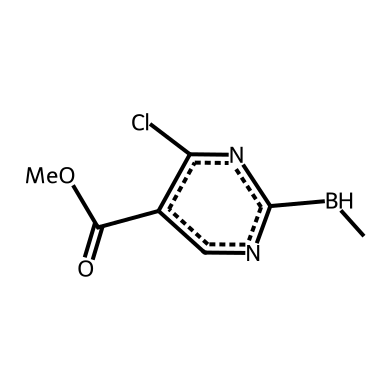 CBc1ncc(C(=O)OC)c(Cl)n1